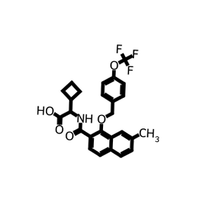 Cc1ccc2ccc(C(=O)NC(C(=O)O)C3CCC3)c(OCc3ccc(OC(F)(F)F)cc3)c2c1